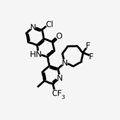 Cc1cc(-c2cc(=O)c3c(Cl)nccc3[nH]2)c(N2CCCC(F)(F)CC2)nc1C(F)(F)F